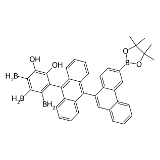 Bc1c(B)c(O)c(O)c(-c2c3ccccc3c(-c3cc4ccccc4c4cc(B5OC(C)(C)C(C)(C)O5)ccc34)c3ccccc23)c1B